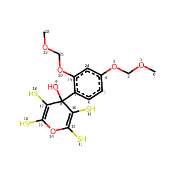 COCOc1ccc(C2(O)C(S)=C(S)OC(S)=C2S)c(OCOC)c1